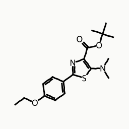 CCOc1ccc(-c2nc(C(=O)OC(C)(C)C)c(N(C)C)s2)cc1